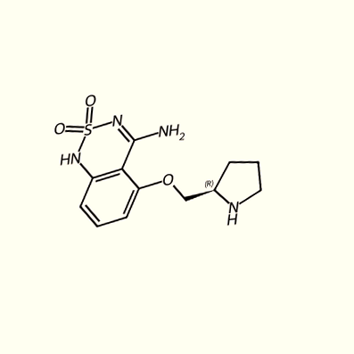 NC1=NS(=O)(=O)Nc2cccc(OC[C@H]3CCCN3)c21